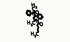 CCCCCC(=O)N1c2ccccc2[C@@H](N(C(C)=O)c2ccccc2)C[C@H]1C